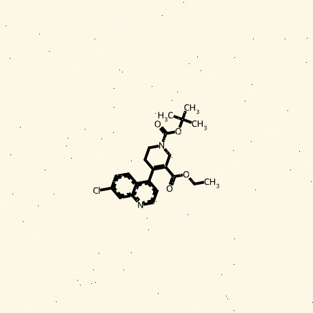 CCOC(=O)C1=C(c2ccnc3cc(Cl)ccc23)CCN(C(=O)OC(C)(C)C)C1